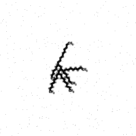 CCCCCCCCCCC(CCCCCC)C[C](CC(CCCCCCCC)CCCCCCCC)C(CCCCCC)CCCCCCCC